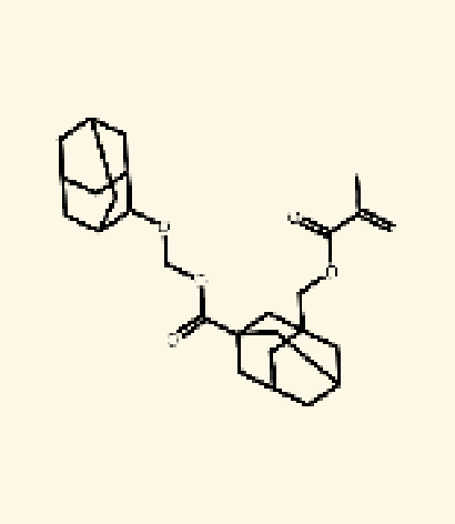 C=C(C)C(=O)OCC12CC3CC(C1)CC(C(=O)OCOC1C4CC5CC(C4)CC1C5)(C3)C2